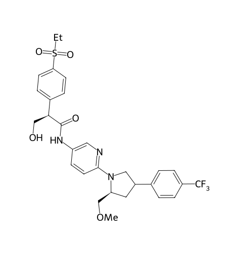 CCS(=O)(=O)c1ccc([C@H](CO)C(=O)Nc2ccc(N3CC(c4ccc(C(F)(F)F)cc4)C[C@H]3COC)nc2)cc1